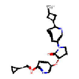 O=C(O)C1CC(c2ccc(N3CC[C@@H](Oc4ccc(OCC5CC5)nc4)C3=O)cn2)C1